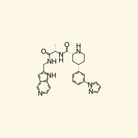 C[C@H](NC(=O)[C@H]1C[C@@H](c2cccc(-n3cccn3)c2)CCN1)C(=O)NCc1cc2cnccc2[nH]1